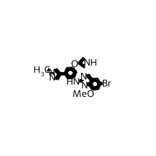 COc1cc(Br)cc2cnc(Nc3cc(OC4CNC4)cc(-c4cnn(C)c4)c3)nc12